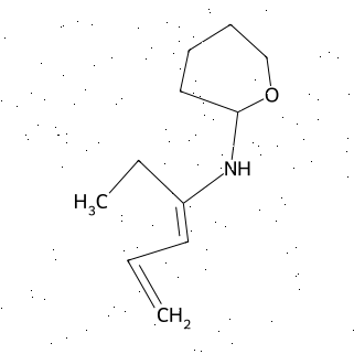 C=C/C=C(\CC)NC1CCCCO1